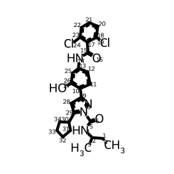 CCC(C)NC(=O)n1nc(-c2ccc(NC(=O)c3c(Cl)cccc3Cl)cc2O)cc1C1CCCC1